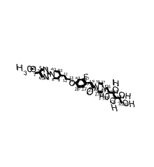 COCc1cnc(N2CCC(CCCOc3ccc(CC(=O)N4CCN(C[C@H](O)[C@@H](O)[C@H](O)[C@H](O)CO)CC4)c(F)c3)CC2)nc1